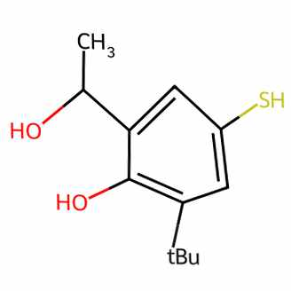 CC(O)c1cc(S)cc(C(C)(C)C)c1O